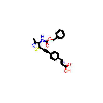 Cc1nsc(C#Cc2ccc(/C=C/C(=O)O)cc2)c1NC(=O)OCc1ccccc1